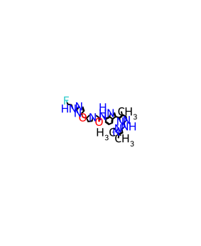 Cc1cnc(Nc2cc(C)n(C)n2)nc1-c1c[nH]c2c(NC(=O)CN3CCC(Oc4ccnc(NCCF)n4)C3)cccc12